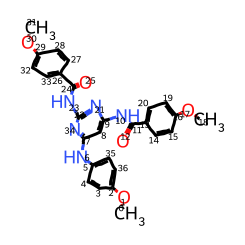 COc1ccc(Nc2cc(NC(=O)c3ccc(OC)cc3)nc(NC(=O)c3ccc(OC)cc3)n2)cc1